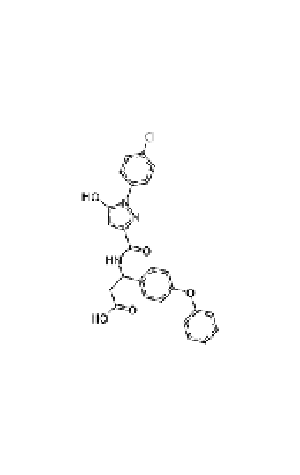 O=C(O)CC(NC(=O)c1cc(O)n(-c2ccc(Cl)cc2)n1)c1ccc(Oc2ccccc2)cc1